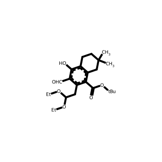 CCOC(Cc1c(C=O)c(O)c2c(c1C(=O)OC(C)(C)C)CC(C)(C)CC2)OCC